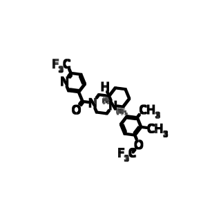 Cc1c(OC(F)(F)F)ccc([C@H]2CCC[C@H]3CN(C(=O)c4ccc(C(F)(F)F)nc4)CCN32)c1C